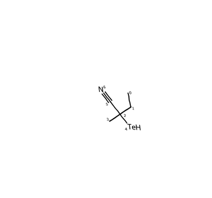 CCC(C)([TeH])C#N